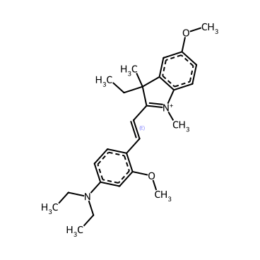 CCN(CC)c1ccc(/C=C/C2=[N+](C)c3ccc(OC)cc3C2(C)CC)c(OC)c1